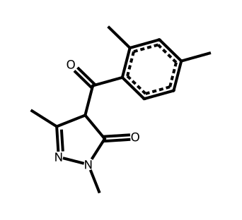 CC1=NN(C)C(=O)C1C(=O)c1ccc(C)cc1C